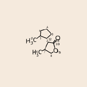 CC1CCCC1.CC1COC(=O)C1